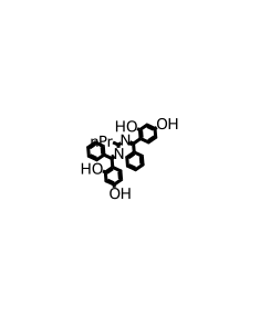 CCCC(/N=C(\c1ccccc1)c1ccc(O)cc1O)/N=C(\c1ccccc1)c1ccc(O)cc1O